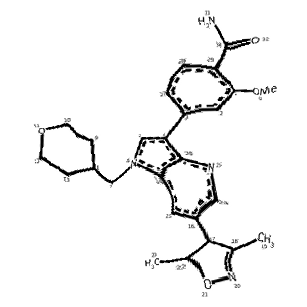 COc1cc(-c2cn(CC3CCOCC3)c3cc(C4C(C)=NOC4C)cnc23)ccc1C(N)=O